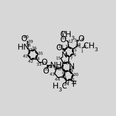 CC[C@@H](C=O)c1cc2n(c(=O)c1COC)Cc1c-2nc2cc(F)c(C)c3c2c1[C@@H](NC(=O)OCc1ccc(NC=O)cc1)CC3